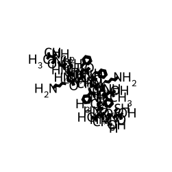 CC(C)C(N)C(=O)NCC(=O)N[C@@H](CS)C(=O)N[C@@H](CCCCN)C(=O)N[C@@H](C)C(=O)N[C@@H](Cc1ccccc1)C(=O)N[C@@H](Cc1ccccc1)C(=O)N[C@H](Cc1c[nH]c2ccccc12)C(=O)N[C@@H](CCCCN)C(=O)N[C@H](C(=O)c1ccccc1N[C@H](C)C(=O)N[C@H](C(=O)N[C@@H](CO)C(=O)N[C@@H](CS)C(=O)O)C(C)O)C(C)O